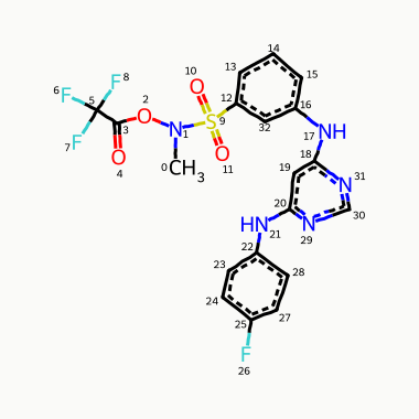 CN(OC(=O)C(F)(F)F)S(=O)(=O)c1cccc(Nc2cc(Nc3ccc(F)cc3)ncn2)c1